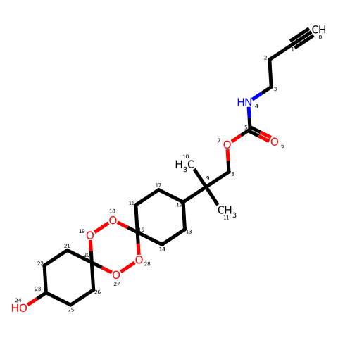 C#CCCNC(=O)OCC(C)(C)C1CCC2(CC1)OOC1(CCC(O)CC1)OO2